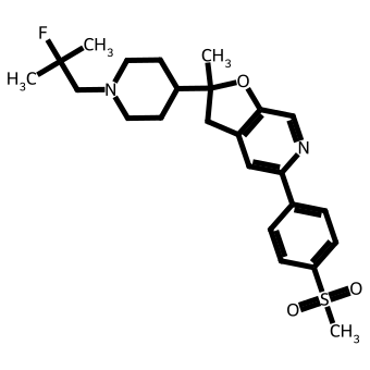 CC(C)(F)CN1CCC(C2(C)Cc3cc(-c4ccc(S(C)(=O)=O)cc4)ncc3O2)CC1